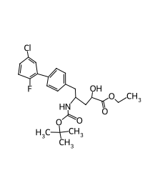 CCOC(=O)C(O)CC(Cc1ccc(-c2cc(Cl)ccc2F)cc1)NC(=O)OC(C)(C)C